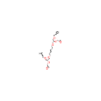 C#CCOCC(COCCCCCCOCC(COCC#C)OCC1CO1)OCC1CO1